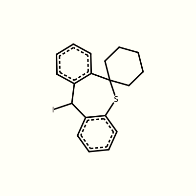 IC1c2ccccc2SC2(CCCCC2)c2ccccc21